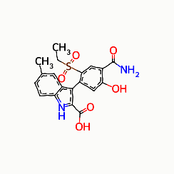 CCS(=O)(=O)c1cc(C(N)=O)c(O)cc1-c1c(C(=O)O)[nH]c2ccc(C)cc12